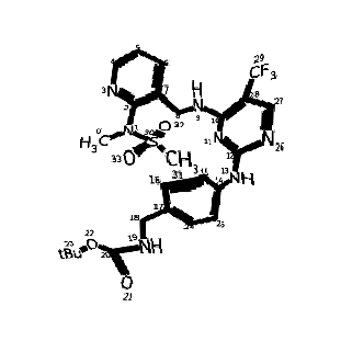 CN(c1ncccc1CNc1nc(Nc2ccc(CNC(=O)OC(C)(C)C)cc2)ncc1C(F)(F)F)S(C)(=O)=O